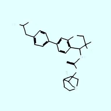 CC(C)Cc1ccc(-c2ccc3c(c2)OCC(C)(C)C3NC(=O)O[C@H]2CN3CCC2CC3)cc1